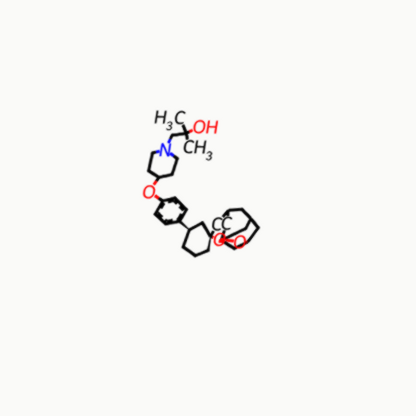 CC(C)(O)CN1CCC(Oc2ccc([C@@H]3CCC[C@]4(CC5CC6CC(C5)CC(C6)OO4)C3)cc2)CC1